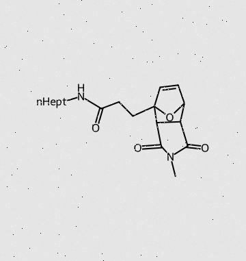 CCCCCCCNC(=O)CCC12C=CC(O1)C1C(=O)N(C)C(=O)C12